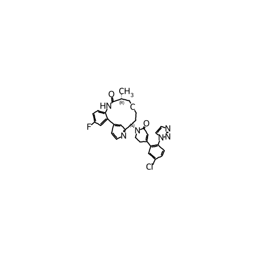 C[C@@H]1CCCC[C@H](N2CCC(c3cc(Cl)ccc3-n3ccnn3)=CC2=O)c2cc(ccn2)-c2cc(F)ccc2NC1=O